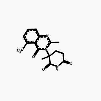 Cc1nc2cccc([N+](=O)[O-])c2c(=O)n1C1(C)CCC(=O)NC1=O